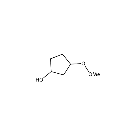 COOC1CCC(O)C1